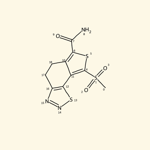 CS(=O)(=O)c1sc(C(N)=O)c2c1-c1snnc1CC2